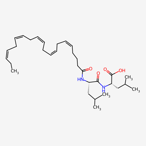 CC/C=C\C/C=C\C/C=C\C/C=C\C/C=C\CCCC(=O)N[C@@H](CC(C)C)C(=O)N[C@@H](CC(C)C)C(=O)O